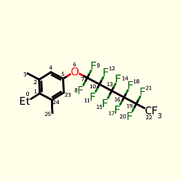 CCc1c(C)cc(OC(F)(F)C(F)(F)C(F)(F)C(F)(F)C(F)(F)C(F)(F)F)cc1C